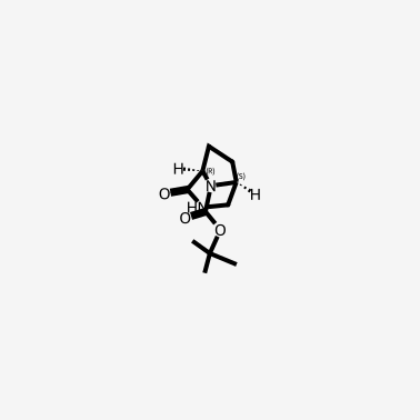 CC(C)(C)OC(=O)N1[C@H]2CC[C@@H]1C(=O)NC2